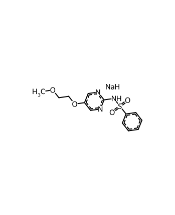 COCCOc1cnc(NS(=O)(=O)c2ccccc2)nc1.[NaH]